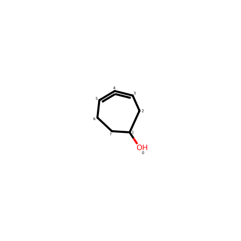 OC1CC=C=CCC1